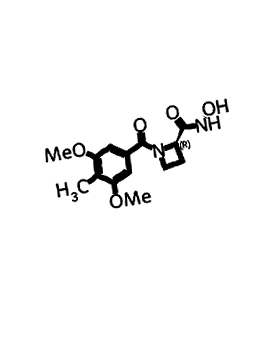 COc1cc(C(=O)N2CC[C@@H]2C(=O)NO)cc(OC)c1C